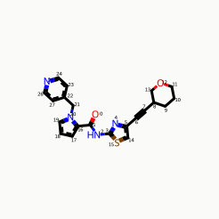 O=C(Nc1nc(C#CC2CCCOC2)cs1)c1cccn1Cc1ccncc1